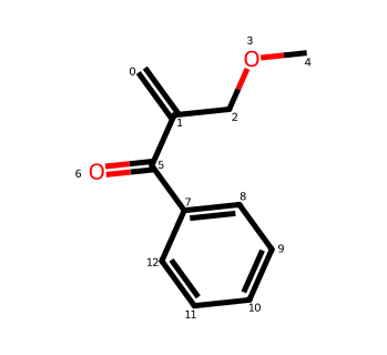 C=C(COC)C(=O)c1ccccc1